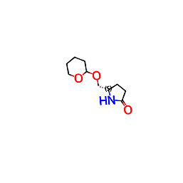 O=C1CC[C@@H](COC2CCCCO2)N1